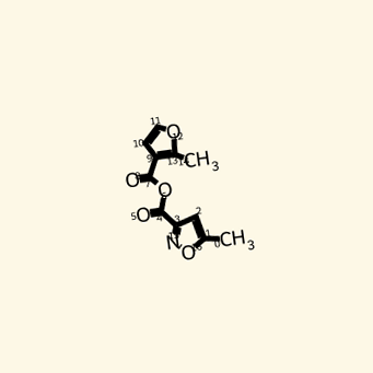 Cc1cc(C(=O)OC(=O)c2ccoc2C)no1